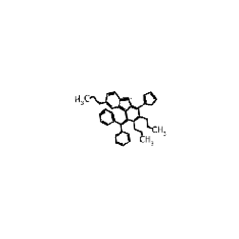 CCCc1ccc2c(c1)=c1c(c(C3=CC=CC3)c(CCC)c(CCC)c1=C(c1ccccc1)c1ccccc1)[C]=2